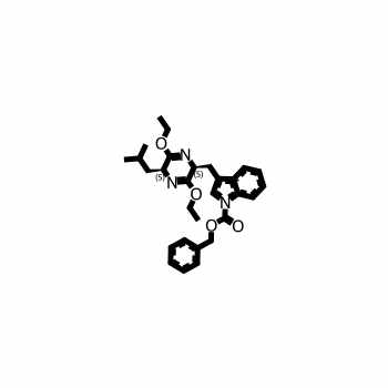 CCOC1=N[C@@H](CC(C)C)C(OCC)=N[C@H]1Cc1cn(C(=O)OCc2ccccc2)c2ccccc12